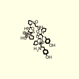 CCC(C)[C@H](NC(=O)[C@@H]1CCCN1C(=O)CNC(=O)[C@@H]1CCCN1C(=O)[C@H](Cc1ccc(O)cc1)NC(=O)[C@@H]1CCCN1C(=O)[C@@H](N)Cc1ccc(O)cc1)C(=S)N1CCC[C@H]1B(O)O